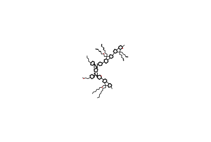 C=C/C=C/CCCC1(CCC/C=C/C=C)c2cc(-c3ccc(N(c4ccc(CCCC)cc4)c4ccc(N(c5ccc(CCCC)cc5)c5ccc(-c6ccc7c(c6)C(CCCCCCCC)(CCCCCCCC)c6cc(C)ccc6-7)cc5)cc4)cc3)ccc2-c2ccc(-c3ccc4c(c3)C(CCCC=C)(CCCC=C)c3cc(C)ccc3-4)cc21